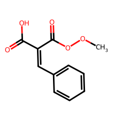 COOC(=O)C(=Cc1ccccc1)C(=O)O